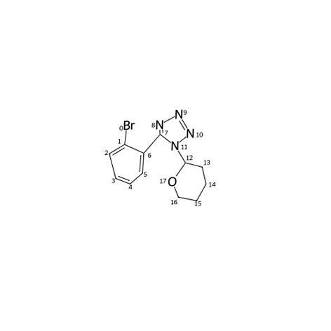 Brc1ccccc1-c1nnnn1C1CCCCO1